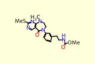 COC(=O)NCCc1cccc(N2CCN(C)c3nc(SC)ncc3C2=O)c1